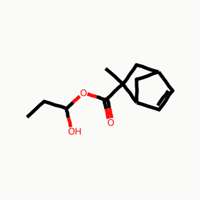 CCC(O)OC(=O)C1(C)CC2C=CC1C2